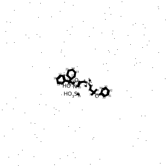 CC(C)(CC[N+](C)(C)Cc1cnc(C(O)(c2ccccc2)C2CCCCC2)o1)Oc1ccccc1.CS(=O)(=O)O